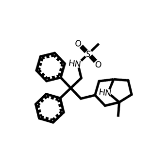 CC12CCC(CC(CC(CNS(C)(=O)=O)(c3ccccc3)c3ccccc3)C1)N2